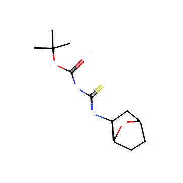 CC(C)(C)OC(=O)NC(=S)NC1CC2CCC1O2